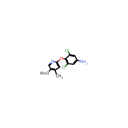 COc1cnc(Oc2c(Cl)cc(N)cc2Cl)cc1C